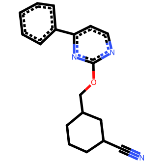 N#CC1CCCC(COc2nccc(-c3ccccc3)n2)C1